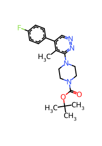 Cc1c(-c2ccc(F)cc2)cnnc1N1CCN(C(=O)OC(C)(C)C)CC1